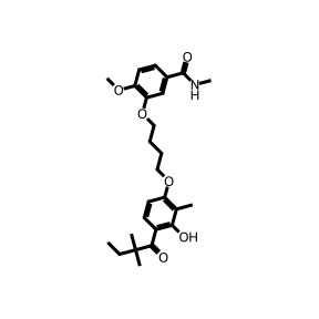 CCC(C)(C)C(=O)c1ccc(OCCCCOc2cc(C(=O)NC)ccc2OC)c(C)c1O